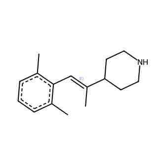 C/C(=C\c1c(C)cccc1C)C1CCNCC1